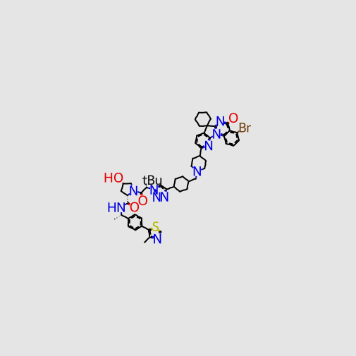 Cc1ncsc1-c1ccc([C@H](C)NC(=O)[C@@H]2C[C@@H](O)CN2C(=O)[C@@H](n2cc(C3CCC(CN4CCC(c5ccc6c(n5)-n5c(nc(=O)c7c(Br)cccc75)C65CCCCC5)CC4)CC3)nn2)C(C)(C)C)cc1